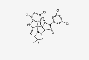 CC1(C)CC2C3C(=O)N(c4cc(Cl)cc(Cl)n4)C(=O)[C@H]3C3(C(=O)Nc4c(Cl)cc(Cl)cc43)N2C1